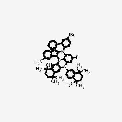 Cc1ccc2sc3c(c2c1)B1c2cc4c(cc2N(c2ccc5c(c2)C(C)(C)CCC5(C)C)c2cc(F)cc(c21)N3c1ccc(C(C)(C)C)cc1-c1ccccc1)C(C)(C)CCC4(C)C